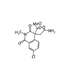 COC(=O)C1(CC(N)=O)C(=O)N(C)C(=O)c2cc(Cl)ccc21